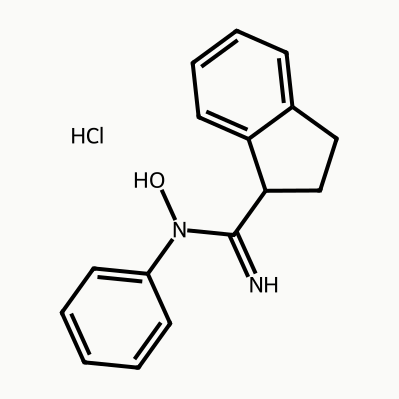 Cl.N=C(C1CCc2ccccc21)N(O)c1ccccc1